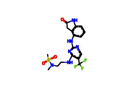 CN(CCNc1nc(Nc2cccc3c2CC(=O)N3)ncc1C(F)(F)F)S(C)(=O)=O